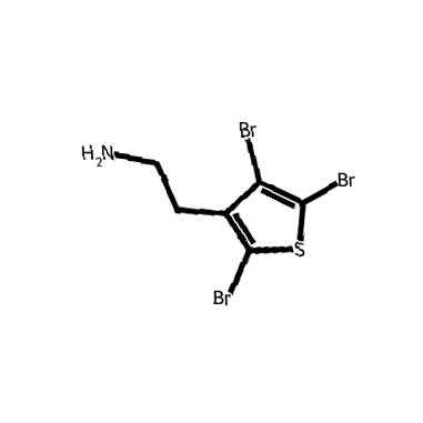 NCCc1c(Br)sc(Br)c1Br